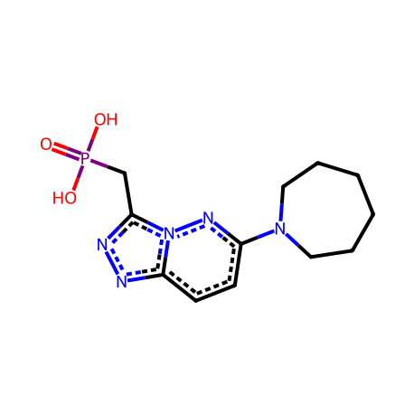 O=P(O)(O)Cc1nnc2ccc(N3CCCCCC3)nn12